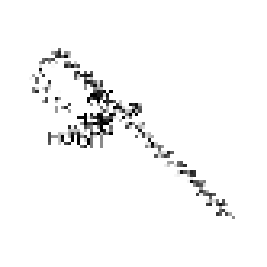 CCCCC/C=C\C/C=C\C/C=C\CCCCCCC(=O)O[C@H](COC(=O)CCCCCCCCCCCCCCCCCCCC)COP(=O)(O)OC[C@@H](O)CO